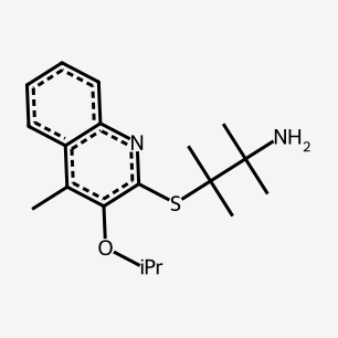 Cc1c(OC(C)C)c(SC(C)(C)C(C)(C)N)nc2ccccc12